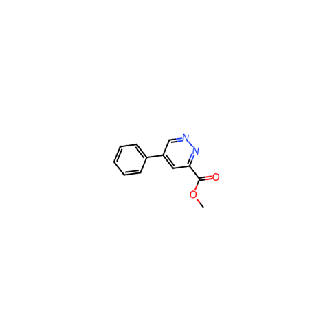 COC(=O)c1cc(-c2ccccc2)cnn1